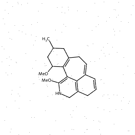 COC1=C2C3=C(CC=CC3=CCC3=C2C(OC)CC(C)C3)CN1